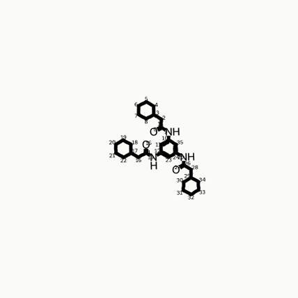 O=C(CC1CCCCC1)Nc1cc(NC(=O)CC2CCCCC2)cc(NC(=O)CC2CCCCC2)c1